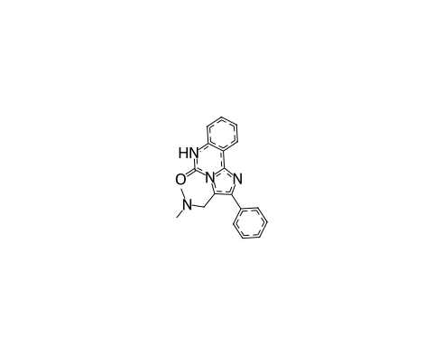 CN(C)Cc1c(-c2ccccc2)nc2c3ccccc3[nH]c(=O)n12